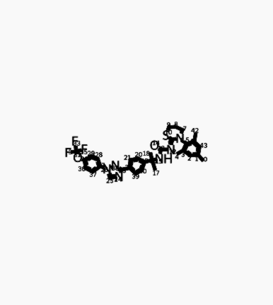 Cc1cc(C)c(N2CCCS/C2=N\C(=O)NC(C)(C)c2ccc(-c3ncn(-c4ccc(OC(F)(F)F)cc4)n3)cc2)c(C)c1